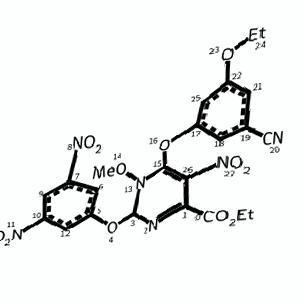 CCOC(=O)C1=NC(Oc2cc([N+](=O)[O-])cc([N+](=O)[O-])c2)N(OC)C(Oc2cc(C#N)cc(OCC)c2)=C1[N+](=O)[O-]